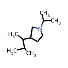 CC(C)C(C)C1CCN(C(C)C)C1